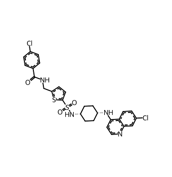 O=C(NCc1ccc(S(=O)(=O)N[C@H]2CC[C@@H](Nc3ccnc4cc(Cl)ccc34)CC2)s1)c1ccc(Cl)cc1